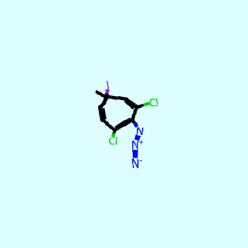 CC1(I)C=CC(Cl)=C(N=[N+]=[N-])C(Cl)=C1